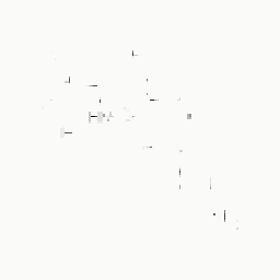 CC(CO)C(=O)N[C@@H](CCCCN)C(=O)O